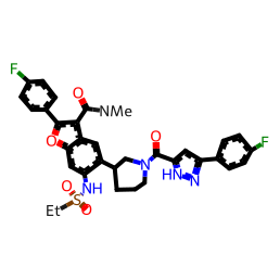 CCS(=O)(=O)Nc1cc2oc(-c3ccc(F)cc3)c(C(=O)NC)c2cc1C1CCCN(C(=O)c2cc(-c3ccc(F)cc3)n[nH]2)C1